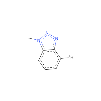 [2H]c1cccc2c1nnn2C